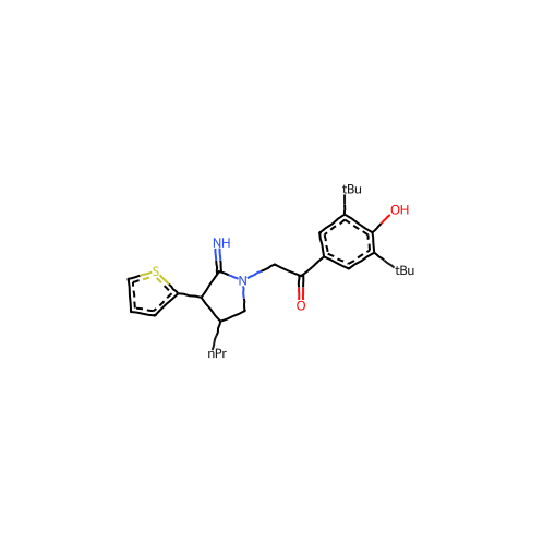 CCCC1CN(CC(=O)c2cc(C(C)(C)C)c(O)c(C(C)(C)C)c2)C(=N)C1c1cccs1